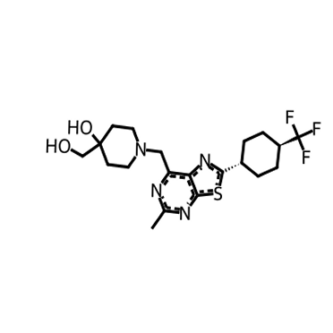 Cc1nc(CN2CCC(O)(CO)CC2)c2nc([C@H]3CC[C@H](C(F)(F)F)CC3)sc2n1